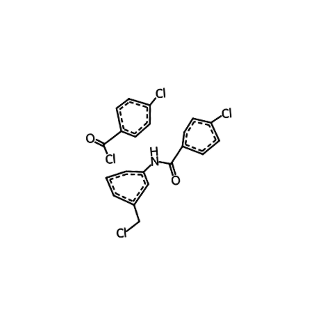 O=C(Cl)c1ccc(Cl)cc1.O=C(Nc1cccc(CCl)c1)c1ccc(Cl)cc1